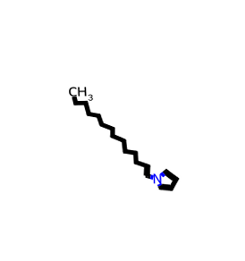 CCCCCCCCCCCCC=Cn1cccc1